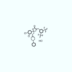 Cl.O=C1OC(CCN2CCC(c3ccccc3)CC2)(c2ccc(Cl)c(Cl)c2)CN1Cc1cc(C(F)(F)F)cc(C(F)(F)F)c1